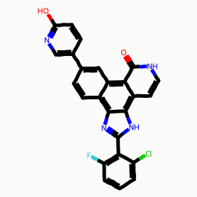 O=c1[nH]ccc2c3[nH]c(-c4c(F)cccc4Cl)nc3c3ccc(-c4ccc(O)nc4)cc3c12